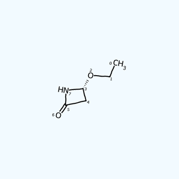 CCO[C@@H]1CC(=O)N1